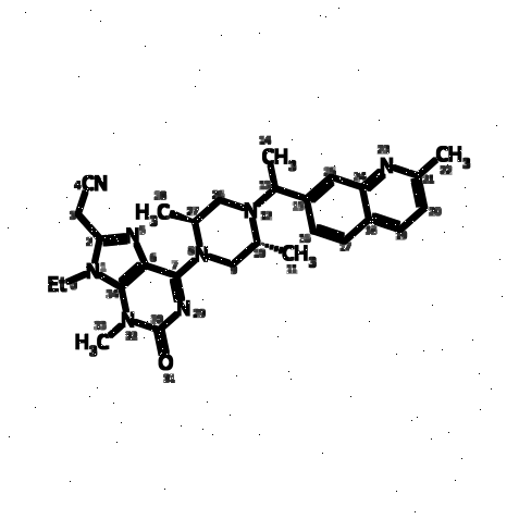 CCn1c(CC#N)nc2c(N3C[C@@H](C)N(C(C)c4ccc5ccc(C)nc5c4)C[C@@H]3C)nc(=O)n(C)c21